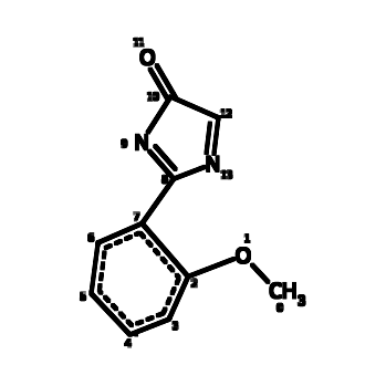 COc1c[c]ccc1C1=NC(=O)C=N1